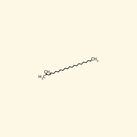 C=CCCCCCCCCCCCCCCCCCCC(=C)C